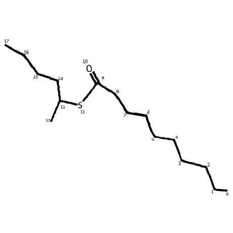 CCCCCCCCCC(=O)SC(C)CCCC